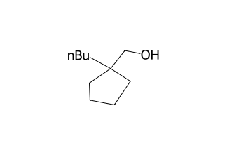 CCCCC1(CO)CCCC1